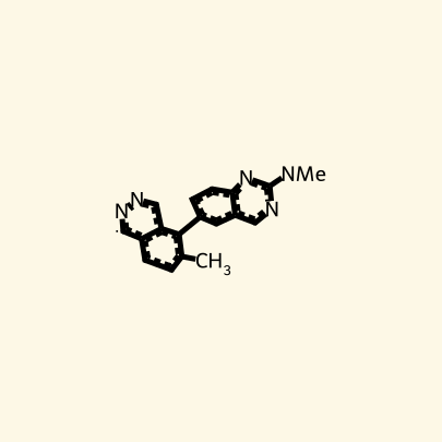 CNc1ncc2cc(-c3c(C)ccc4[c]nncc34)ccc2n1